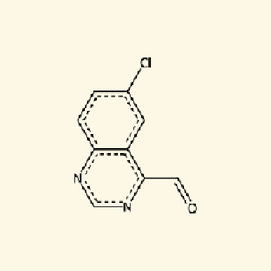 O=Cc1ncnc2ccc(Cl)cc12